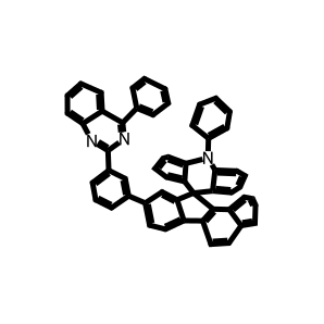 c1ccc(-c2nc(-c3cccc(-c4ccc5c(c4)C4(c6ccccc6N(c6ccccc6)c6ccccc64)c4c-5ccc5ccccc45)c3)nc3ccccc23)cc1